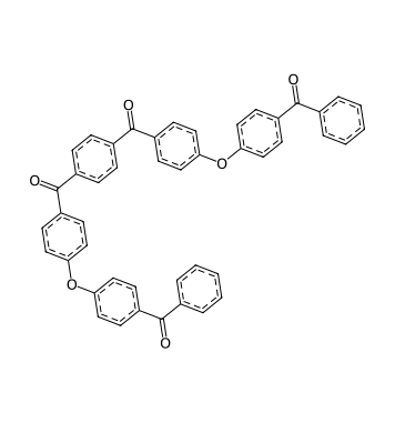 O=C(c1ccccc1)c1ccc(Oc2ccc(C(=O)c3ccc(C(=O)c4ccc(Oc5ccc(C(=O)c6ccccc6)cc5)cc4)cc3)cc2)cc1